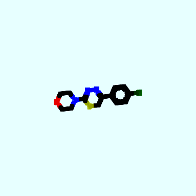 Clc1ccc(C2=NN=C(N3CCOCC3)SC2)cc1